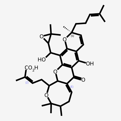 CC(C)=CCC[C@@]1(C)C=Cc2c(O)c3c(c(C(O)C4OC4(C)C)c2O1)OC1/C(=C\CC(C)C(C)(C)OC1C/C=C(/C)C(=O)O)C3=O